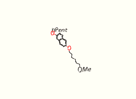 CCCCCOc1ccc2cc(OCCCCCCOC)ccc2c1